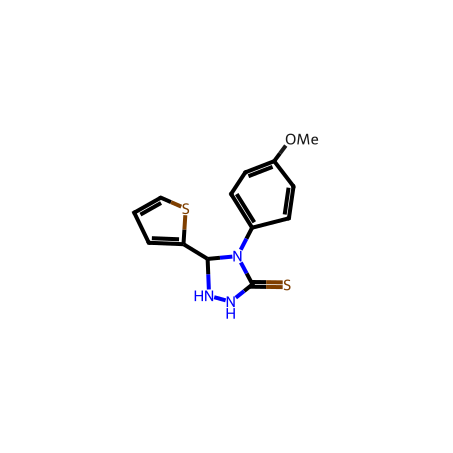 COc1ccc(N2C(=S)NNC2c2cccs2)cc1